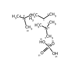 CCC.CN(C)C.CN(C)C.O=S(=O)(O)O